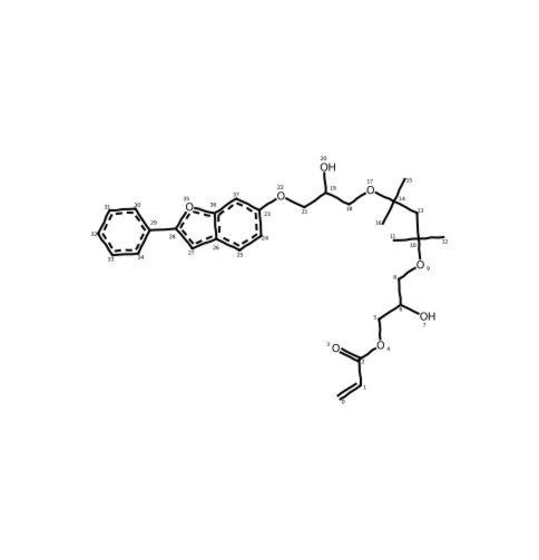 C=CC(=O)OCC(O)COC(C)(C)CC(C)(C)OCC(O)COc1ccc2cc(-c3ccccc3)oc2c1